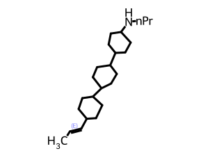 C/C=C/C1CCC(C2CCC(C3CCC(NCCC)CC3)CC2)CC1